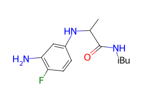 CCC(C)NC(=O)C(C)Nc1ccc(F)c(N)c1